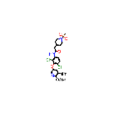 COc1ncc(Oc2c(Cl)ccc(NC(=O)CC3CCN(S(C)(=O)=O)CC3)c2Cl)cc1C(C)C